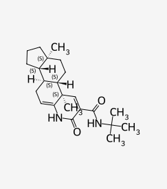 CC(C)(C)NC(=O)C1=C[C@@]2(C)C(=CC[C@H]3[C@@H]4CCC[C@@]4(C)CC[C@@H]32)NC1=O